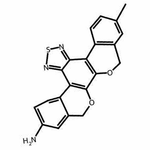 Cc1ccc2c(c1)COc1c3c(c4nsnc4c1-2)-c1ccc(N)cc1CO3